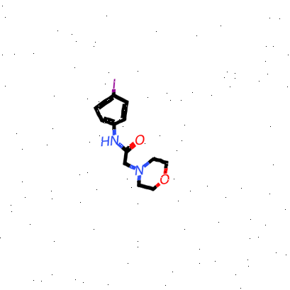 O=C(CN1CCOCC1)Nc1ccc(I)cc1